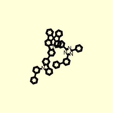 c1ccc(-c2cccc(-c3nc(-c4ccccc4)nc(-c4cccc(-n5c6ccc(-c7ccc8c(c7)c7ccccc7n8-c7cccc(-c8ccccc8)c7)cc6c6ccc7c(c65)C5(c6ccccc6-c6ccccc65)c5ccccc5-7)c4)n3)c2)cc1